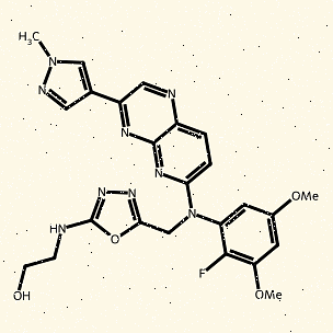 COc1cc(OC)c(F)c(N(Cc2nnc(NCCO)o2)c2ccc3ncc(-c4cnn(C)c4)nc3n2)c1